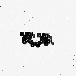 Cc1ccccc1N(c1ccc2cc3c(cc2c1)oc1cc2oc4cc5cc(N(c6ccccc6C)c6cccc7c6-c6ccccc6C7(C)C)ccc5cc4c2cc13)c1cccc2c1-c1ccccc1C2(C)C